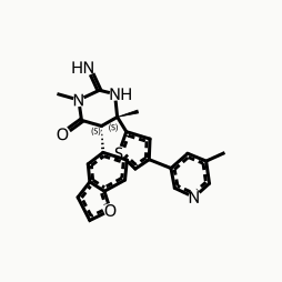 Cc1cncc(-c2csc([C@@]3(C)NC(=N)N(C)C(=O)[C@H]3c3ccc4occc4c3)c2)c1